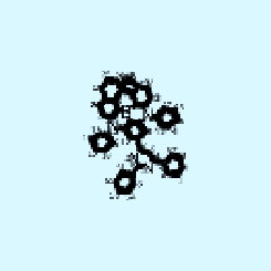 c1ccc(-c2cc(-c3cc4c5c(c3)N(c3ccccc3)c3ccc6ccccc6c3B5c3c(ccc5ccccc35)N4c3ccccc3)nc(-c3ccccc3)n2)cc1